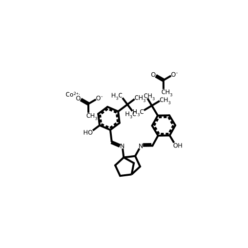 CC(=O)[O-].CC(=O)[O-].CC(C)(C)c1ccc(O)c(C=NC2CC3CCC2(N=Cc2cc(C(C)(C)C)ccc2O)C3)c1.[Co+2]